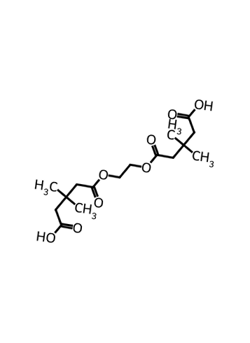 CC(C)(CC(=O)O)CC(=O)OCCOC(=O)CC(C)(C)CC(=O)O